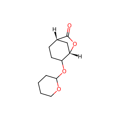 O=C1O[C@H]2C[C@@H]1CCC2OC1CCCCO1